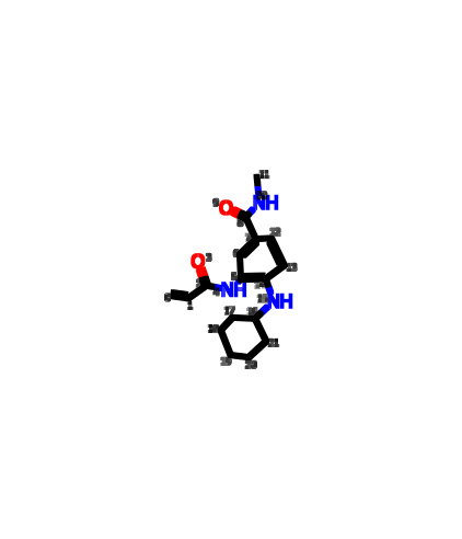 C=CC(=O)Nc1cc(C(=O)NC)ccc1NC1CCCCC1